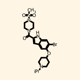 CC(C)N1CCC(Oc2cc3cc(C(=O)N4CCN(S(C)(=O)=O)CC4)[nH]c3cc2Br)CC1